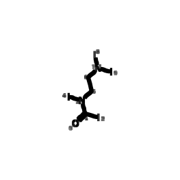 O=C(I)N(I)CCN(I)I